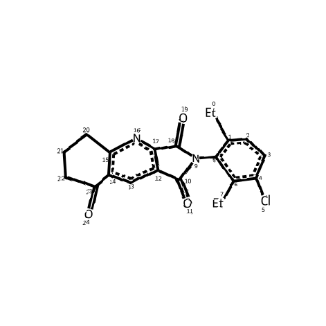 CCc1ccc(Cl)c(CC)c1N1C(=O)c2cc3c(nc2C1=O)CCCC3=O